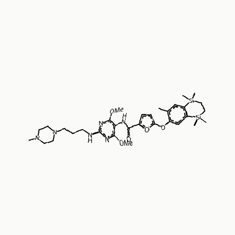 COc1nc(NCCCN2CCN(C)CC2)nc(OC)c1NC(=O)c1ccc(Oc2cc3c(cc2C)[Si](C)(C)CC[Si]3(C)C)o1